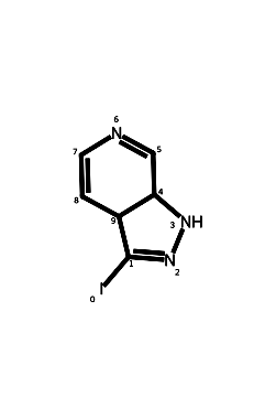 IC1=NNC2C=NC=CC12